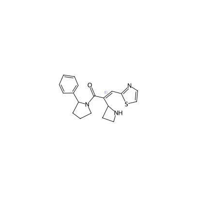 O=C(/C(=C/c1nccs1)C1CCN1)N1CCCC1c1ccccc1